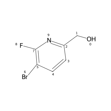 OCc1ccc(Br)c(F)n1